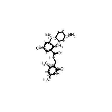 CCN(c1cc(Cl)cc(C(=O)NCc2c(C)cc(C)[nH]c2=O)c1C)[C@H]1CC[C@@H](N)CC1